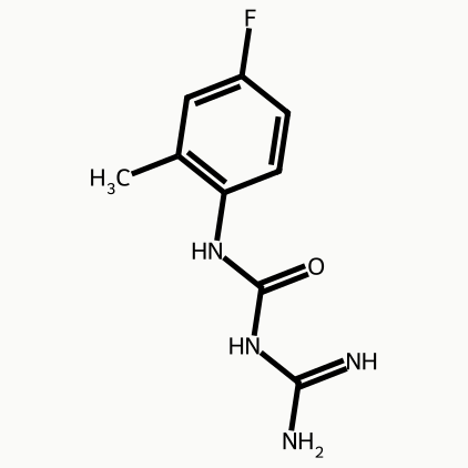 Cc1cc(F)ccc1NC(=O)NC(=N)N